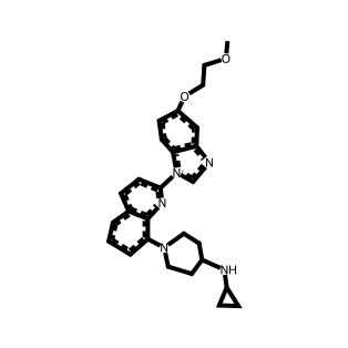 COCCOc1ccc2c(c1)ncn2-c1ccc2cccc(N3CCC(NC4CC4)CC3)c2n1